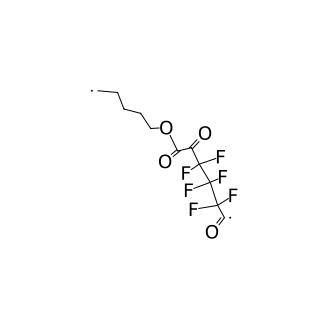 [CH2]CCCCOC(=O)C(=O)C(F)(F)C(F)(F)C(F)(F)[C]=O